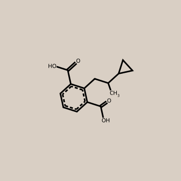 CC(Cc1c(C(=O)O)cccc1C(=O)O)C1CC1